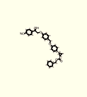 N#Cc1ccc(C(=N)COc2ccc(COc3ccc([C@H]4C[C@H]4C(=O)OCc4ccccc4)cc3)cc2)cc1